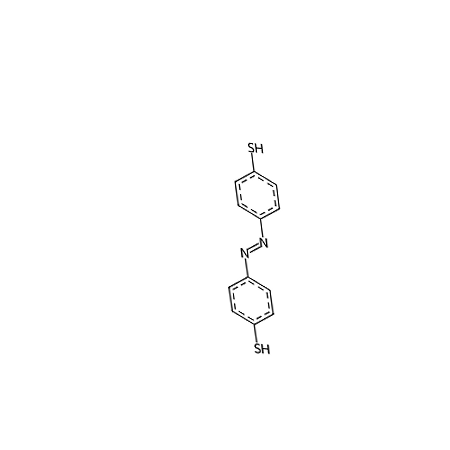 Sc1ccc(N=Nc2ccc(S)cc2)cc1